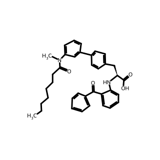 CCCCCCCC(=O)N(C)c1cccc(-c2ccc(C[C@H](Nc3ccccc3C(=O)c3ccccc3)C(=O)O)cc2)c1